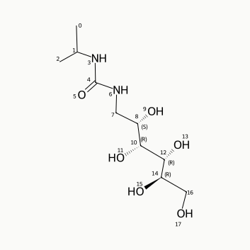 CC(C)NC(=O)NC[C@H](O)[C@@H](O)[C@H](O)[C@H](O)CO